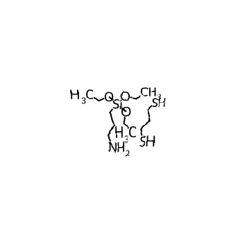 CCO[Si](CCCN)(OCC)OCC.SCCCS